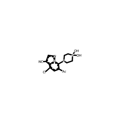 CC(=O)c1cc(Cl)c2c(C#N)cnn2c1N1CCS(O)(O)CC1